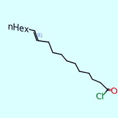 CCCCCC/C=C/CCCCCCCCCC(=O)Cl